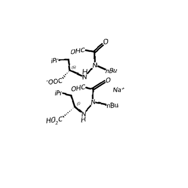 CCCCN(N[C@@H](CC(C)C)C(=O)O)C(=O)C=O.CCCCN(N[C@@H](CC(C)C)C(=O)[O-])C(=O)C=O.[Na+]